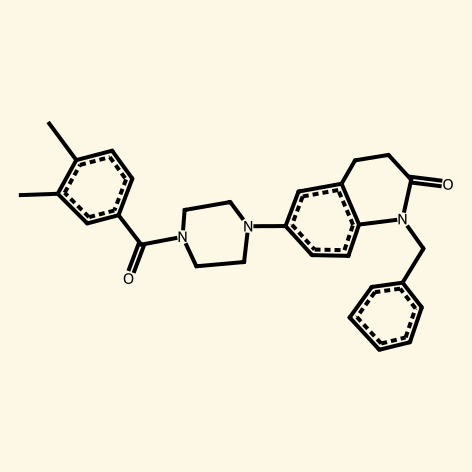 Cc1ccc(C(=O)N2CCN(c3ccc4c(c3)CCC(=O)N4Cc3ccccc3)CC2)cc1C